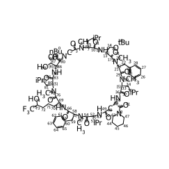 CCCCN1CC(=O)N(C)[C@@H](CC(C)C)C(=O)N[C@@H](COC(C)(C)C)C(=O)N(C)[C@@H](Cc2ccccc2)C(=O)N(C)[C@@H](CC(C)C)C(=O)N[C@H](C(=O)N2CCCCC2)CC(=O)N[C@H](C(C)C)C(=O)N(C)[C@@H](Cc2ccccc2)C(=O)N[C@@H](CCCC(O)C(F)(F)F)C(=O)N(C)[C@@H](CC(C)C)C(=O)N[C@@H]([C@@H](C)O)C1=O